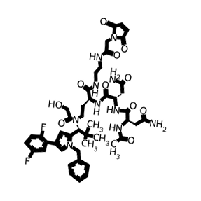 CC(=O)N[C@H](CC(N)=O)C(=O)N[C@@H](CC(N)=O)C(=O)N[C@@H](CCN(C(=O)CO)[C@@H](c1cc(-c2cc(F)ccc2F)cn1Cc1ccccc1)C(C)(C)C)C(=O)NCCNC(=O)CN1C(=O)C=CC1=O